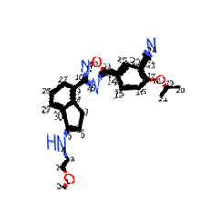 COCCNC1CCc2c(-c3noc(-c4ccc(OC(C)C)c(C#N)c4)n3)cccc21